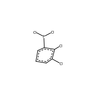 Clc1cccc(P(Cl)Cl)c1Cl